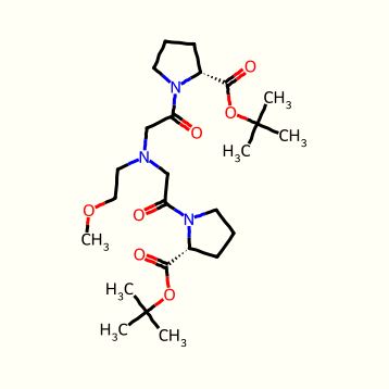 COCCN(CC(=O)N1CCC[C@@H]1C(=O)OC(C)(C)C)CC(=O)N1CCC[C@@H]1C(=O)OC(C)(C)C